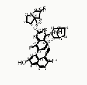 C#Cc1c(F)ccc2cc(O)cc(-c3ccc4c(N5CC6CCC(C5)N6)nc(OCC56CCCN5CC(F)C6)nc4c3F)c12